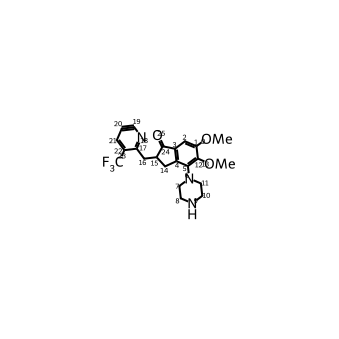 COc1cc2c(c(N3CCNCC3)c1OC)CC(Cc1nc#ccc1C(F)(F)F)C2=O